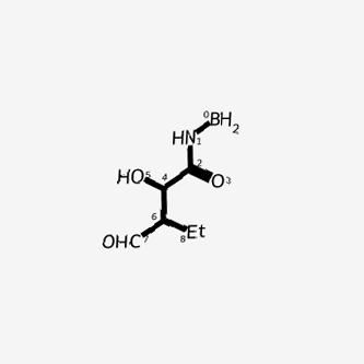 BNC(=O)C(O)C(C=O)CC